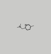 Cc1ccc(CN(C)C)nc1